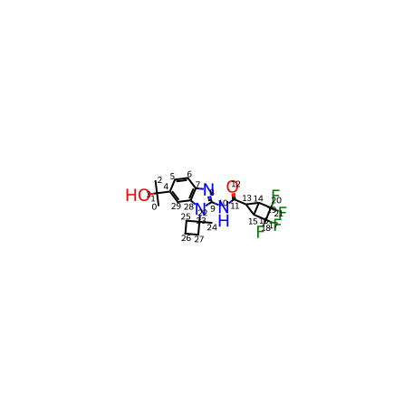 CC(C)(O)c1ccc2nc(NC(=O)C3C4C3C(F)(F)C4(F)F)n(C3(C)CCC3)c2c1